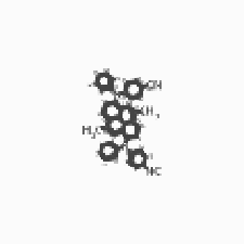 [C-]#[N+]c1ccc(N(c2ccccc2)c2ccc3c(C)cc4c(N(c5ccccc5)c5ccc(C#N)cc5)ccc5c(C)cc2c3c54)cc1